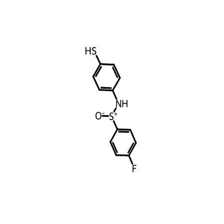 [O-][S+](Nc1ccc(S)cc1)c1ccc(F)cc1